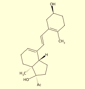 CC(=O)[C@@]1(O)CC[C@H]2C(/C=C/C3=C(C)CC[C@H](O)C3)=CCC[C@@]21C